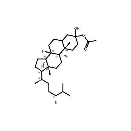 CC(=O)OC1(O)CC[C@@]2(C)C(CC[C@H]3[C@@H]4CC[C@H]([C@H](C)CC[C@@H](C)C(C)C)[C@@]4(C)CC[C@@H]32)C1